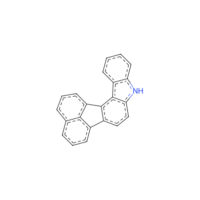 c1cc2c3c(cccc3c1)-c1c-2ccc2[nH]c3ccccc3c12